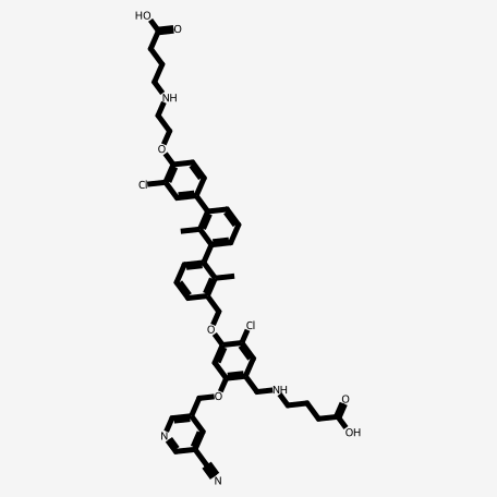 Cc1c(COc2cc(OCc3cncc(C#N)c3)c(CNCCCC(=O)O)cc2Cl)cccc1-c1cccc(-c2ccc(OCCNCCCC(=O)O)c(Cl)c2)c1C